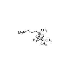 CNCCC[Si](C)(C)O[Si](C)(C)C